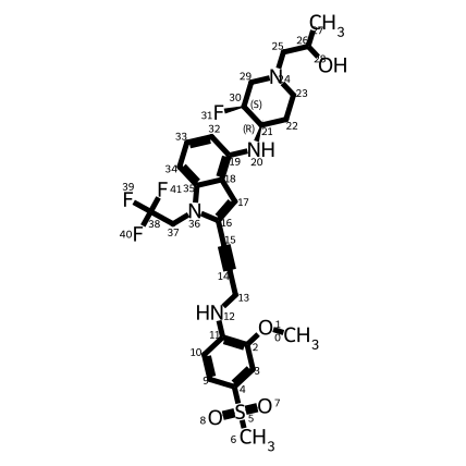 COc1cc(S(C)(=O)=O)ccc1NCC#Cc1cc2c(N[C@@H]3CCN(CC(C)O)C[C@@H]3F)cccc2n1CC(F)(F)F